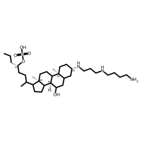 CCC[C@@H](CCC(C)C1CCC2[C@@H]3C(O)CC4C[C@@H](NCCCNCCCCN)CC[C@]4(C)C3CC[C@]12C)OS(=O)(=O)O